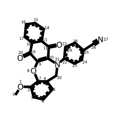 COc1cccc2c1OC1=C(C(=O)c3ccccc3C1=O)N(c1ccc(C#N)cc1)C2